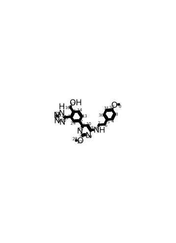 COc1ccc(CCNc2cc(-c3ccc(CO)c(-c4nnn[nH]4)c3)nc(OC)n2)cc1